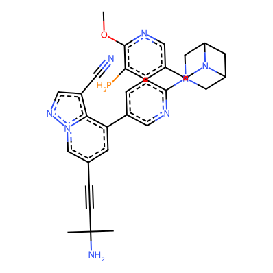 COc1ncc(CN2C3CC2CN(c2ccc(-c4cc(C#CC(C)(C)N)cn5ncc(C#N)c45)cn2)C3)cc1P